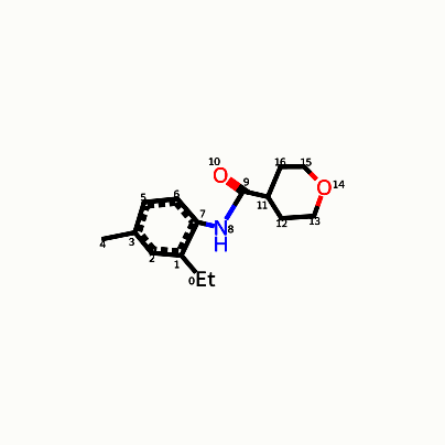 CCc1cc(C)ccc1NC(=O)C1CCOCC1